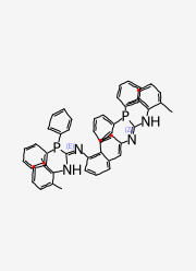 Cc1cccc(C)c1N/C(=N/c1ccc2c(/N=C(\Nc3c(C)cccc3C)P(c3ccccc3)c3ccccc3)cccc2c1)P(c1ccccc1)c1ccccc1